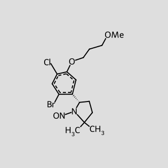 COCCCOc1cc([C@@H]2CCC(C)(C)N2N=O)c(Br)cc1Cl